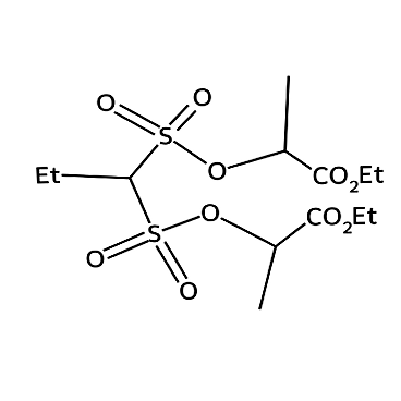 CCOC(=O)C(C)OS(=O)(=O)C(CC)S(=O)(=O)OC(C)C(=O)OCC